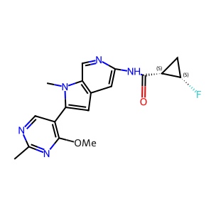 COc1nc(C)ncc1-c1cc2cc(NC(=O)[C@@H]3C[C@@H]3F)ncc2n1C